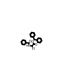 [CH2]CC(NC(=O)c1ccccc1)C(=O)OC(c1ccccc1)c1ccccc1